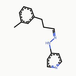 Cc1cccc(CC/C=N\Nc2ccncc2)c1